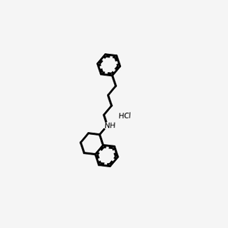 Cl.c1ccc(CCCCNC2CCCc3ccccc32)cc1